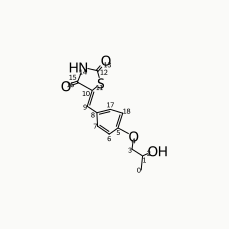 CC(O)COc1ccc(/C=C2\SC(=O)NC2=O)cc1